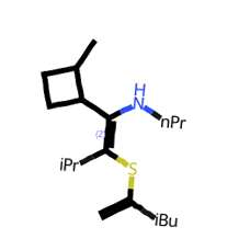 C=C(S/C(=C(\NCCC)C1CCC1C)C(C)C)C(C)CC